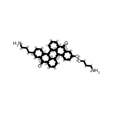 NCCCOOc1ccc2c(c1)c(=O)c1cccc3c1c2c1cccc2c(=O)c4cc(CCCN)ccc4c3c21